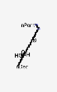 CCCCC/C=C\C/C=C\CCCCCCCC(=O)CCCCCCCCCCC(=O)N[C@H](CO)CCCCCCCCCCCCCCCCCC